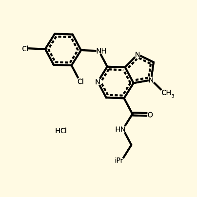 CC(C)CNC(=O)c1cnc(Nc2ccc(Cl)cc2Cl)c2ncn(C)c12.Cl